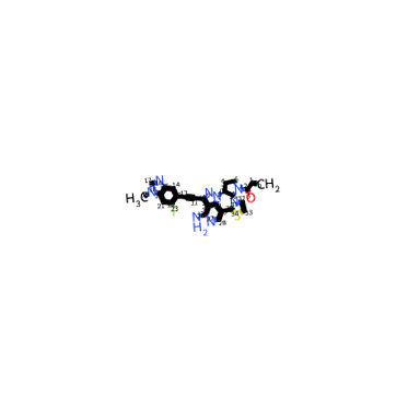 C=CC(=O)N1CC[C@H](n2nc(C#Cc3cc4ncn(C)c4cc3F)c3c(N)ncc(-c4nccs4)c32)C1